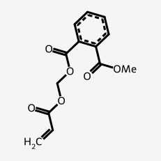 C=CC(=O)OCOC(=O)c1ccccc1C(=O)OC